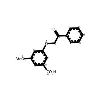 COc1cc(OCC(=O)c2ccccc2)cc(C(=O)O)c1